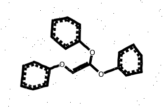 C(Oc1ccccc1)=C(Oc1ccccc1)Oc1ccccc1